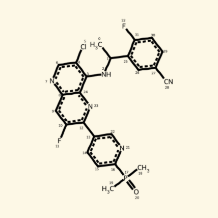 CC(Nc1c(Cl)cnc2cc(F)c(-c3ccc(P(C)(C)=O)nc3)nc12)c1cc(C#N)ccc1F